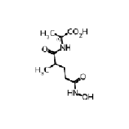 CC(CCC(=O)NO)C(=O)N[C@@H](C)C(=O)O